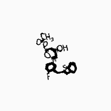 CC(=O)OC[C@@H]1C[C@H](O)C[C@H](c2ccc(F)c(Cc3cc4ccccc4s3)c2)O1